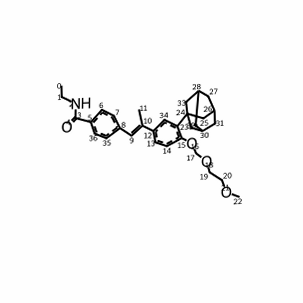 CCNC(=O)c1ccc(C=C(C)c2ccc(OCOCCOC)c(C34CC5CC(CC(C5)C3)C4)c2)cc1